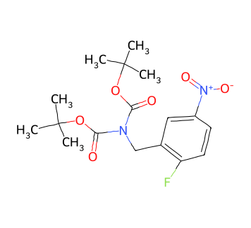 CC(C)(C)OC(=O)N(Cc1cc([N+](=O)[O-])ccc1F)C(=O)OC(C)(C)C